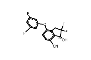 N#Cc1ccc(Oc2cc(F)cc(F)c2)c2c1[C@H](O)C(F)(F)C2